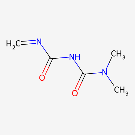 C=NC(=O)NC(=O)N(C)C